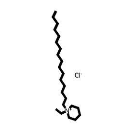 CCCCCCCCCCCCCCCC[N+]1(CC)CCCCC1.[Cl-]